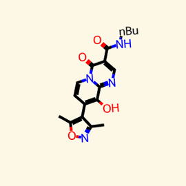 CCCCNC(=O)c1cnc2c(O)c(-c3c(C)noc3C)ccn2c1=O